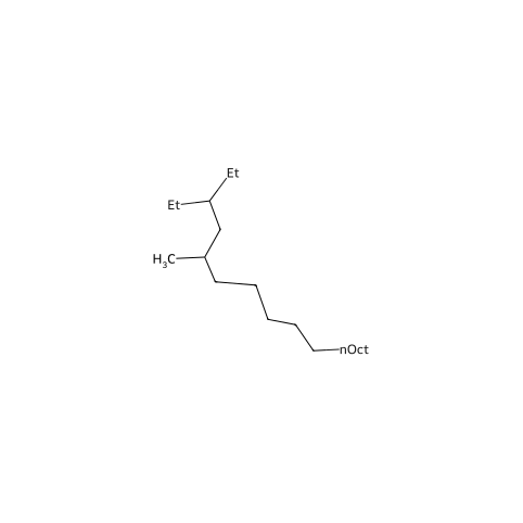 CCCCCCCCCCCCCC(C)CC(CC)CC